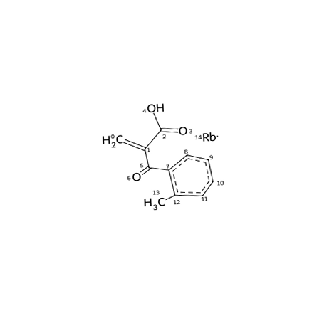 C=C(C(=O)O)C(=O)c1ccccc1C.[Rb]